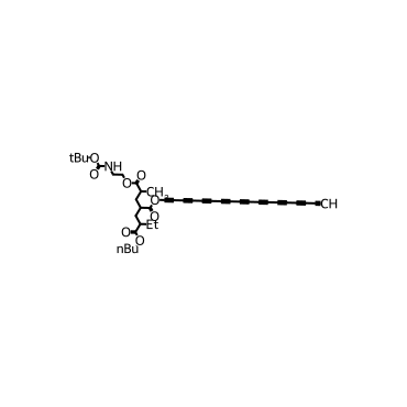 C#CC#CC#CC#CC#CC#CC#CC#CC#COC(=O)C(CC(C)C(=O)OCCNC(=O)OC(C)(C)C)CC(CC)C(=O)OCCCC